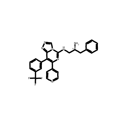 N[C@H](CNc1nc(-c2ccncc2)c(-c2cccc(C(F)(F)F)c2)c2nncn12)Cc1ccccc1